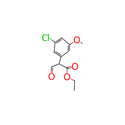 CCOC(=O)C(C=O)c1cc(Cl)cc(OC)c1